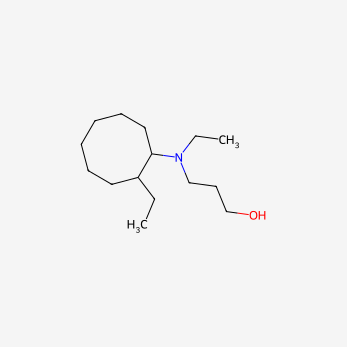 CCC1CCCCCCC1N(CC)CCCO